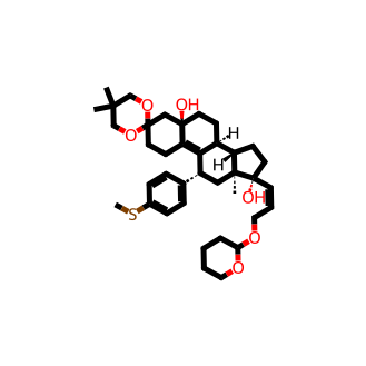 CSc1ccc([C@H]2C[C@@]3(C)[C@@H](CC[C@@]3(O)/C=C\COC3CCCCO3)[C@@H]3CC[C@@]4(O)CC5(CCC4=C32)OCC(C)(C)CO5)cc1